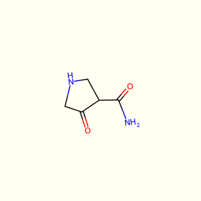 NC(=O)C1CNCC1=O